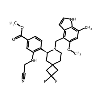 COC(=O)c1ccc([C@@H]2CC3(CCN2Cc2c(OC)cc(C)c4[nH]ccc24)CC(F)(F)C3)c(NCC#N)c1